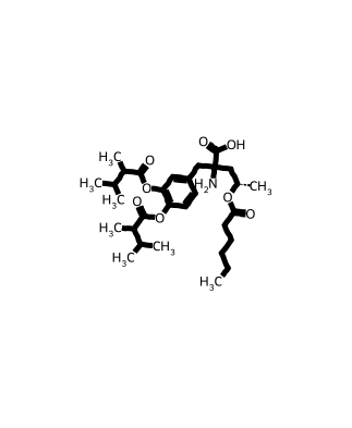 CCCCCC(=O)O[C@@H](C)CC(N)(Cc1ccc(OC(=O)C(C)C(C)C)c(OC(=O)C(C)C(C)C)c1)C(=O)O